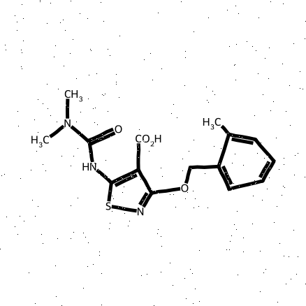 Cc1ccccc1COc1nsc(NC(=O)N(C)C)c1C(=O)O